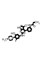 C=CC(=O)Nc1cccc(-c2nc(Nc3cc(O)c(N4CCN(C)CC4)c(F)c3)nc3[nH]nc(Cl)c23)c1